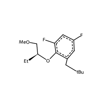 CC[C@@H](COC)Oc1c(F)cc(F)cc1CC(C)(C)C